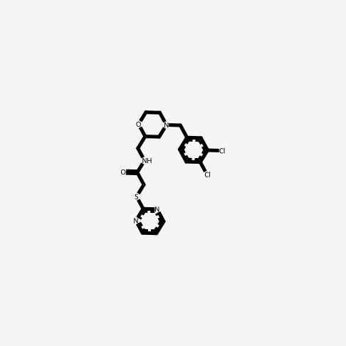 O=C(CSc1ncccn1)NCC1CN(Cc2ccc(Cl)c(Cl)c2)CCO1